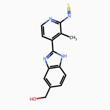 Cc1c(-c2nc3cc(CO)ccc3[nH]2)ccnc1N=S